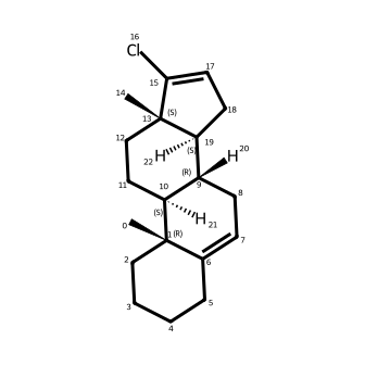 C[C@]12CCCCC1=CC[C@@H]1[C@@H]2CC[C@]2(C)C(Cl)=CC[C@@H]12